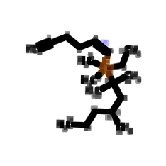 C#CCC/C=C\[SH](C)(C)(CC)C(C)(C)C[C@@H](C)CCC